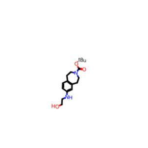 CC(C)(C)OC(=O)N1CCc2ccc(NCCO)cc2CC1